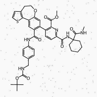 CNC(=O)C1(NC(=O)c2ccc(-c3cc4c(cc3C(=O)Nc3ccc(CNC(=O)OC(C)(C)C)cc3)-c3sccc3CCO4)c(C(=O)OC)n2)CCCCC1